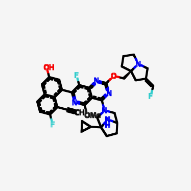 C#Cc1c(F)ccc2cc(O)cc(-c3nc(OC)c4c(N5CC6CCC(C7CC7)(C5)N6)nc(OC[C@@]56CCCN5C/C(=C/F)C6)nc4c3F)c12